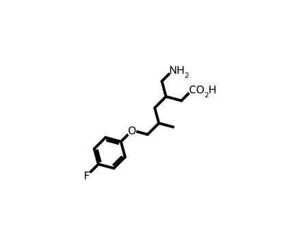 CC(COc1ccc(F)cc1)CC(CN)CC(=O)O